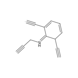 [C]#CC1=CC=CC(C#[C])C1=[SiH]CC#C